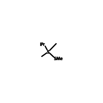 CSS(C)(C)C(C)C